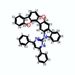 c1ccc(-c2cc(-c3ccccc3)nc(-n3c4ccccc4c4cc5oc6ccc7c8ccccc8oc7c6c5cc43)n2)cc1